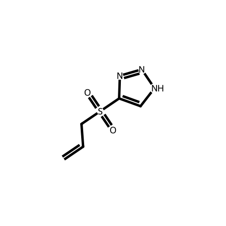 C=CCS(=O)(=O)c1c[nH]nn1